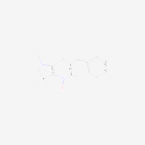 CC(=O)N1CC(C)(C)c2c1cc(Cc1cccc(F)c1)c(C)[n+]2[O-]